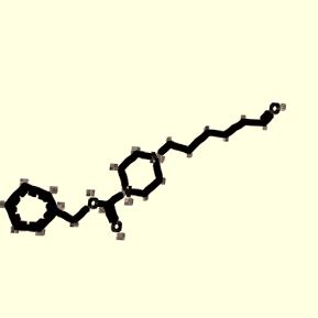 O=CCCCCCN1CCN(C(=O)OCc2ccccc2)CC1